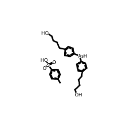 Cc1ccc(S(=O)(=O)O)cc1.OCCCCc1ccc([AsH]c2ccc(CCCCO)cc2)cc1